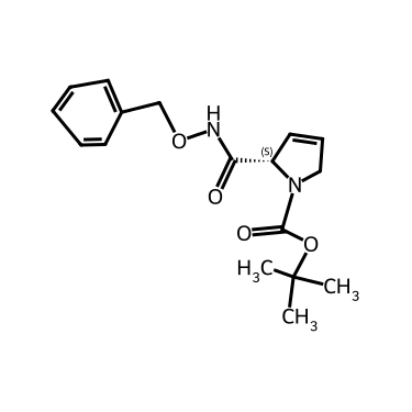 CC(C)(C)OC(=O)N1CC=C[C@H]1C(=O)NOCc1ccccc1